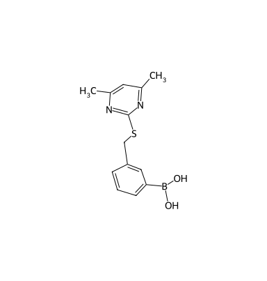 Cc1cc(C)nc(SCc2cccc(B(O)O)c2)n1